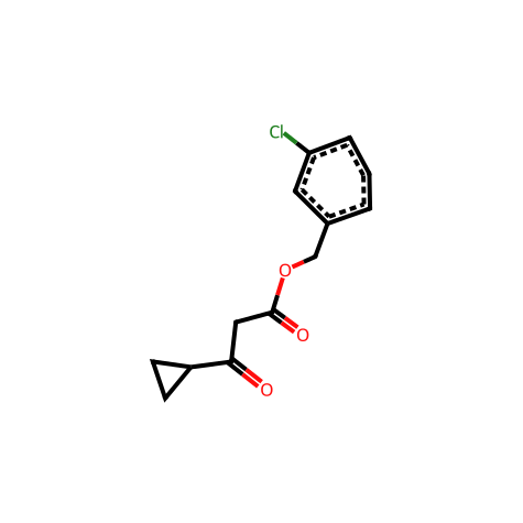 O=C(CC(=O)C1CC1)OCc1cccc(Cl)c1